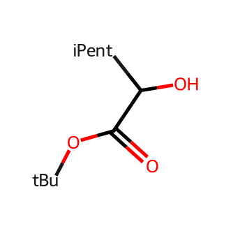 CCCC(C)C(O)C(=O)OC(C)(C)C